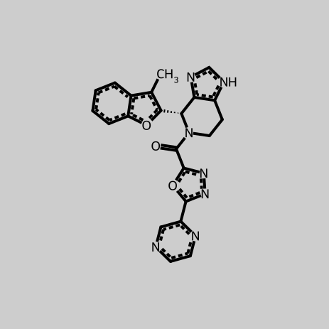 Cc1c([C@@H]2c3nc[nH]c3CCN2C(=O)c2nnc(-c3cnccn3)o2)oc2ccccc12